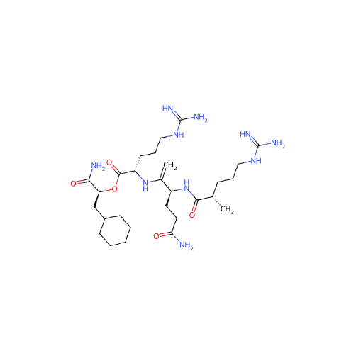 C=C(N[C@@H](CCCNC(=N)N)C(=O)O[C@@H](CC1CCCCC1)C(N)=O)[C@H](CCC(N)=O)NC(=O)[C@@H](C)CCCNC(=N)N